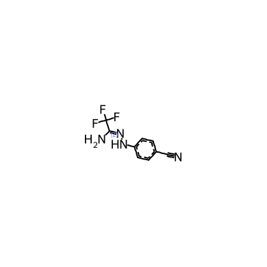 N#Cc1ccc(N/N=C(\N)C(F)(F)F)cc1